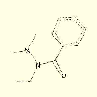 CCN(C(=O)c1cc[c]cc1)N(C)C